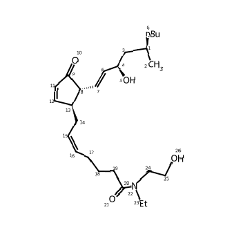 CCCC[C@@H](C)C[C@@H](O)/C=C/[C@H]1C(=O)C=C[C@@H]1C/C=C\CCCC(=O)N(CC)CCO